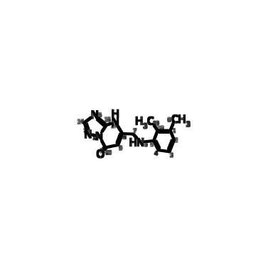 Cc1cccc(NCc2cc(=O)n3ncnc3[nH]2)c1C